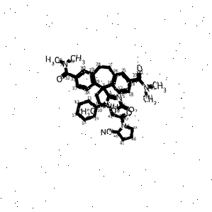 C[C@@H](CC1(c2nc(=O)on2C2CCCCC2)c2ccc(C(=O)N(C)C)cc2CCc2cc(C(=O)N(C)C)ccc21)NCC(=O)N1CCCC1C#N